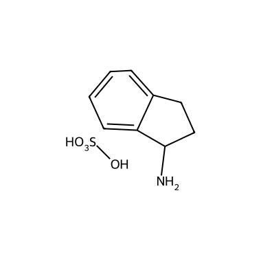 NC1CCc2ccccc21.O=S(=O)(O)O